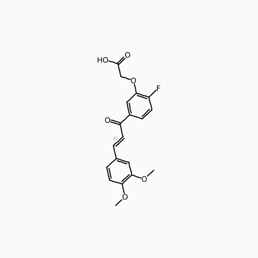 COc1ccc(/C=C/C(=O)c2ccc(F)c(OCC(=O)O)c2)cc1OC